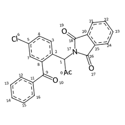 CC(=O)C(c1ccc(Cl)cc1C(=O)c1ccccc1)N1C(=O)c2ccccc2C1=O